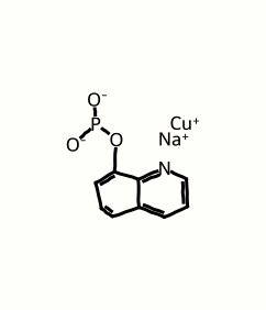 [Cu+].[Na+].[O-]P([O-])Oc1cccc2cccnc12